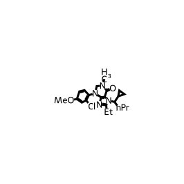 CCCC(C1CC1)n1c(CC)nc2c1C(=O)N(C)CN2c1ccc(OC)cc1Cl